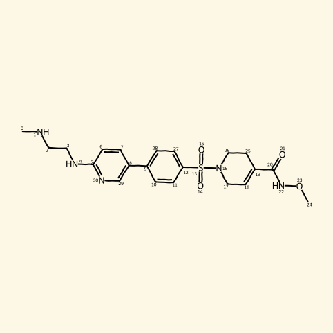 CNCCNc1ccc(-c2ccc(S(=O)(=O)N3CC=C(C(=O)NOC)CC3)cc2)cn1